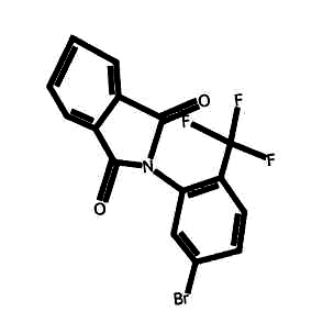 O=C1c2ccccc2C(=O)N1c1cc(Br)ccc1C(F)(F)F